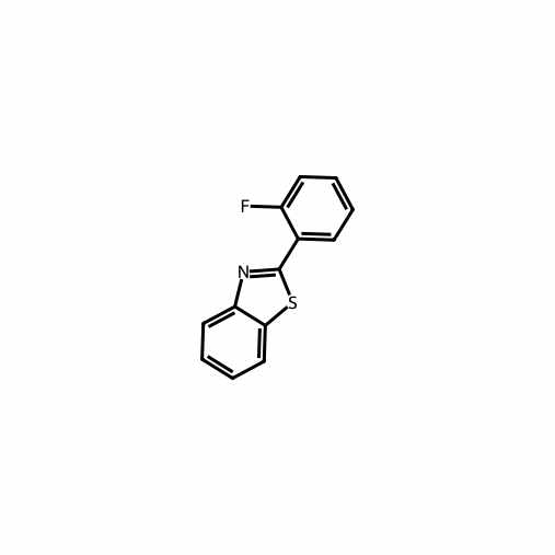 Fc1ccccc1-c1nc2ccccc2s1